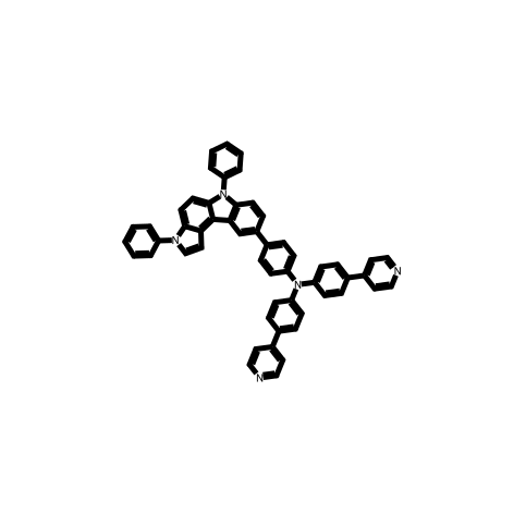 c1ccc(-n2ccc3c4c5cc(-c6ccc(N(c7ccc(-c8ccncc8)cc7)c7ccc(-c8ccncc8)cc7)cc6)ccc5n(-c5ccccc5)c4ccc32)cc1